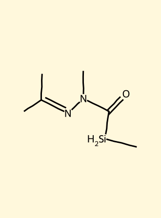 C[SiH2]C(=O)N(C)N=C(C)C